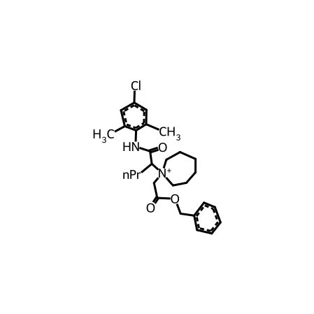 CCCC(C(=O)Nc1c(C)cc(Cl)cc1C)[N+]1(CC(=O)OCc2ccccc2)CCCCCC1